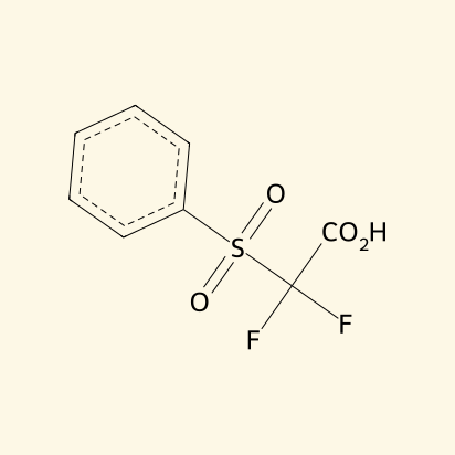 O=C(O)C(F)(F)S(=O)(=O)c1ccccc1